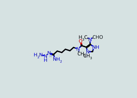 CN(C=O)C1=C(C(=O)N(C)CCCCC/C(N)=N/NN)N(C)CN1